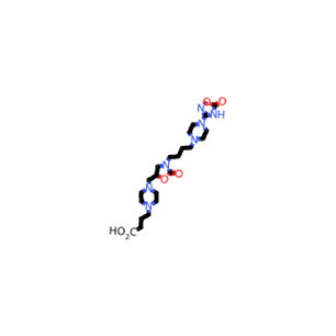 O=C(O)CCCN1CCN(CC2CN(CCCCN3CCN(c4noc(=O)[nH]4)CC3)C(=O)O2)CC1